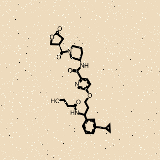 O=C(CCO)NC(CCOc1ccc(C(=O)N[C@H]2CCCN(C(=O)[C@H]3COC(=O)C3)C2)nc1)c1cccc(C2CC2)c1